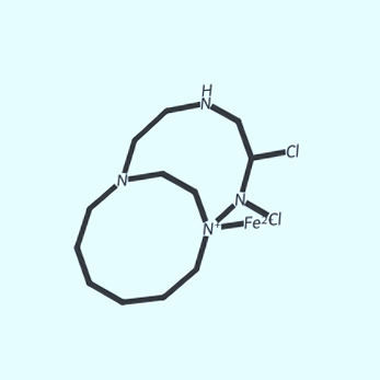 ClC1CNCCN2CCCCCC[N+]([Fe+2])(CC2)N1Cl